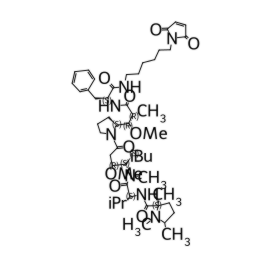 CC[C@H](C)[C@@H]([C@@H](CC(=O)N1CCC[C@H]1[C@H](OC)[C@@H](C)C(=O)N[C@@H](Cc1ccccc1)C(=O)NCCCCCCN1C(=O)C=CC1=O)OC)N(C)C(=O)[C@@H](NC(=O)[C@]1(C)CCC(C)N1C)C(C)C